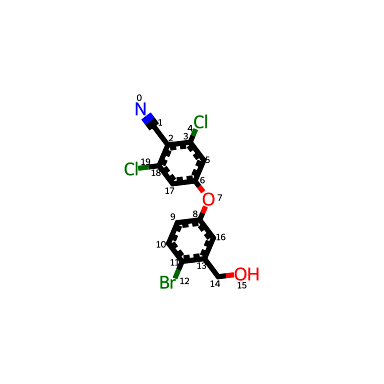 N#Cc1c(Cl)cc(Oc2ccc(Br)c(CO)c2)cc1Cl